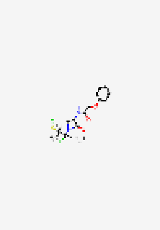 CC(C)(SCl)C(Cl)(C(=O)O)N1CC(NC(=O)COc2ccccc2)C1=O